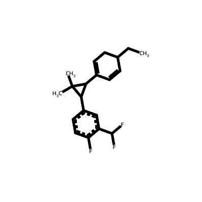 CCC1C=CC(C2C(c3ccc(F)c(C(F)F)c3)C2(C)C)=CC1